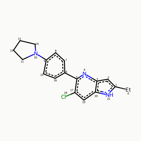 CCc1cc2nc(-c3ccc(N4CCCC4)cc3)c(Cl)cc2[nH]1